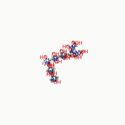 CC1(C)CC(O)CC(C)(C)N1O.CC1(C)CC(O)CC(C)(C)N1O.CC1(C)CC(O)CC(C)(C)N1O.CC1(C)CC(O)CC(C)(C)N1O.CC1(C)CC(O)CC(C)(C)N1O.O=C(O)CN(CCN(CC(=O)O)CC(=O)O)CCN(CC(=O)O)CC(=O)O